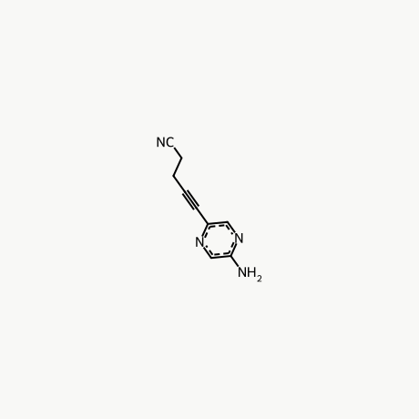 N#CCCC#Cc1cnc(N)cn1